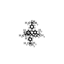 CCC(CC)(Nc1ccc(C(C)(C)C)cc1)c1cc(C(C)(C)C)ccc1N(c1ccc(C(C)(C)C)cc1)c1ccc(C(C)(C)C)cc1